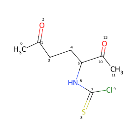 CC(=O)CCC(NC(=S)Cl)C(C)=O